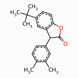 Cc1ccc(C2C(=O)Oc3ccc(C(C)(C)C)cc32)cc1C